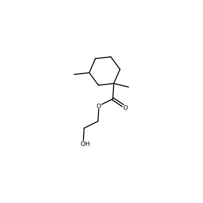 CC1CCCC(C)(C(=O)OCCO)C1